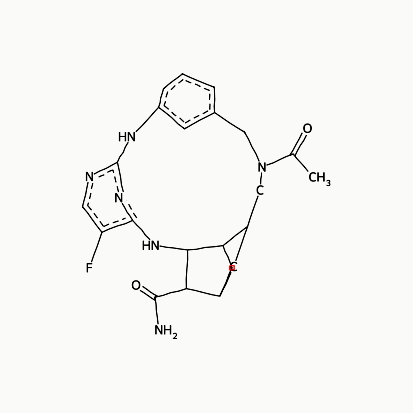 CC(=O)N1Cc2cccc(c2)Nc2ncc(F)c(n2)NC2C3CC(CC3C1)C2C(N)=O